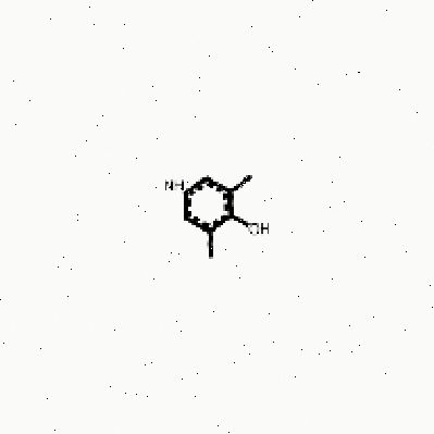 Cc1cccc(C)c1O.N